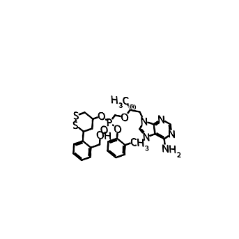 Cc1ccccc1OP(=O)(CO[C@H](C)Cn1cnc2c(N)ncnc21)OC1CSSC(c2ccccc2CO)C1